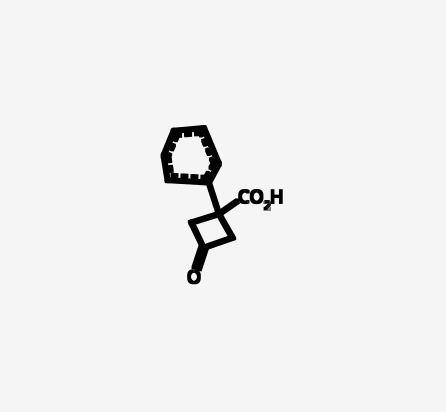 O=C1CC(C(=O)O)(c2ccccc2)C1